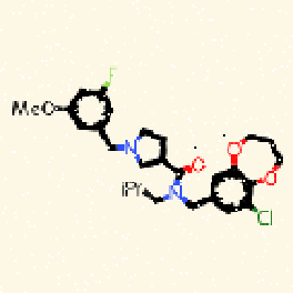 COc1cc(F)cc(CN2CCC(C(=O)N(Cc3cc(Cl)c4c(c3)OCCCO4)CC(C)C)C2)c1